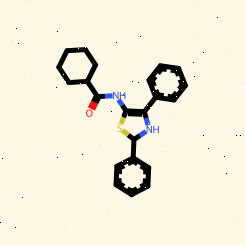 O=C(NC1=C(c2ccccc2)NC(c2ccccc2)S1)C1CCCCC1